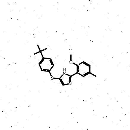 COc1ccc(C)cc1-c1ncc(Sc2ccc(C(C)(C)C)cc2)[nH]1